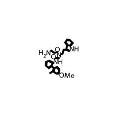 COc1ccc(-c2ccccc2NC(=O)CN(CCc2c[nH]c3ccccc23)C(=O)CCN)c(C)c1